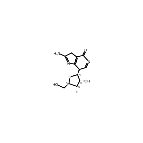 C[C@H]1[C@@H](O)[C@H](C2C=NC(=O)C3=C2N=C(N)C3)O[C@@H]1CO